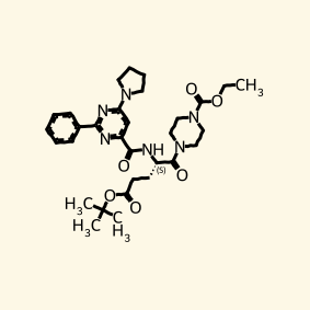 CCOC(=O)N1CCN(C(=O)[C@H](CCC(=O)OC(C)(C)C)NC(=O)c2cc(N3CCCC3)nc(-c3ccccc3)n2)CC1